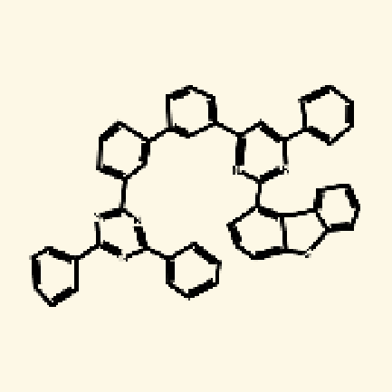 c1ccc(-c2cc(-c3cccc(-c4cccc(-c5nc(-c6ccccc6)nc(-c6ccccc6)n5)c4)c3)nc(-c3cccc4sc5ccccc5c34)n2)cc1